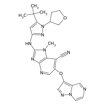 Cn1c(Nc2cc(C(C)(C)C)n(C3CCOC3)n2)nc2ncc(Oc3cnn4ccncc34)c(C#N)c21